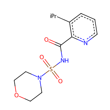 CC(C)c1cccnc1C(=O)NS(=O)(=O)N1CCOCC1